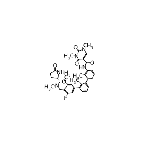 COc1cc(-c2cccc(-c3cccc(NC(=O)c4cn(C)c(=O)n(C)c4=O)c3C)c2C)cc(F)c1CN(C)C[C@@H]1CCC(=O)N1